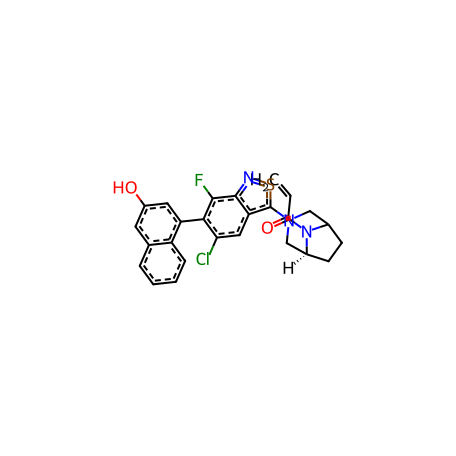 C=CC(=O)N1C2CC[C@H]1CN(c1snc3c(F)c(-c4cc(O)cc5ccccc45)c(Cl)cc13)C2